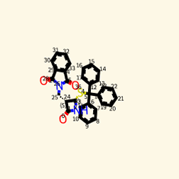 O=C1N[C@H](SC(c2ccccc2)(c2ccccc2)c2ccccc2)[C@H]1CN1C(=O)c2ccccc2C1=O